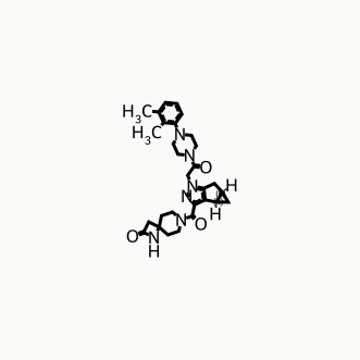 Cc1cccc(N2CCN(C(=O)Cn3nc(C(=O)N4CCC5(CC4)CC(=O)N5)c4c3C[C@H]3C[C@@H]43)CC2)c1C